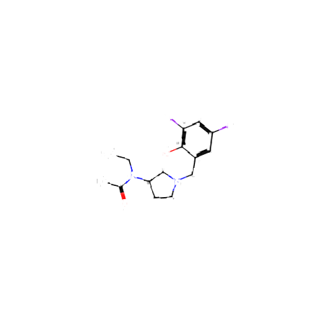 CCN(C(C)=O)C1CCN(Cc2cc(I)cc(I)c2O)C1